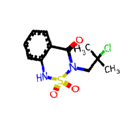 CC(C)(Cl)CN1C(=O)c2ccccc2NS1(=O)=O